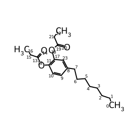 CCCCCCCCc1ccc(OC(=O)CC)c(OC(=O)CC)c1